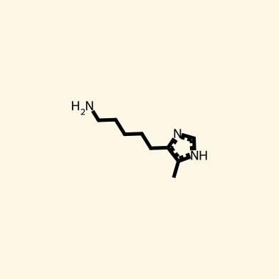 Cc1[nH]cnc1CCCCCN